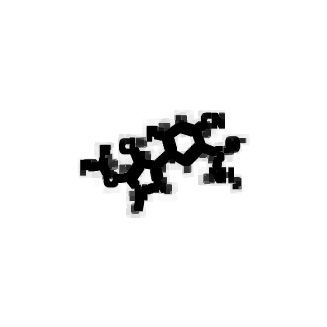 Cn1nc(-c2cc([S+](N)[O-])c(C#N)cc2F)c(Cl)c1OC(F)F